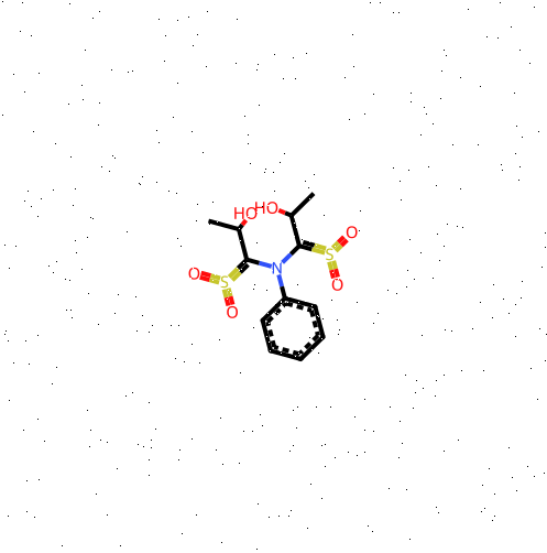 CC(O)C(N(C(C(C)O)=S(=O)=O)c1ccccc1)=S(=O)=O